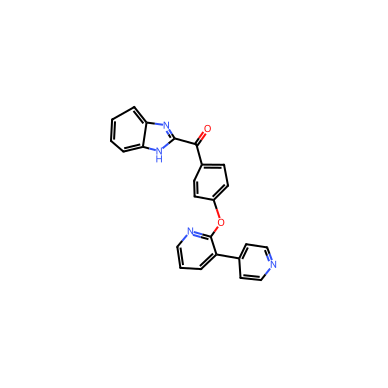 O=C(c1ccc(Oc2ncccc2-c2ccncc2)cc1)c1nc2ccccc2[nH]1